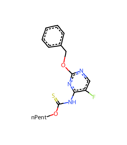 CCCCCOC(=S)Nc1nc(OCc2ccccc2)ncc1F